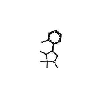 Cc1ccccc1C1CN(C)C(C)(C)C1C